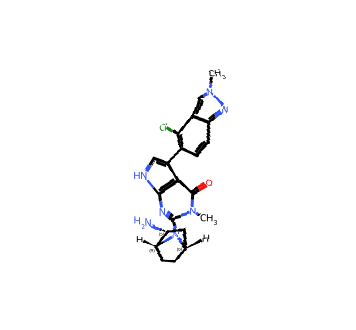 Cn1cc2c(Cl)c(-c3c[nH]c4nc(N5[C@H]6CC[C@@H]5[C@@H](N)C6)n(C)c(=O)c34)ccc2n1